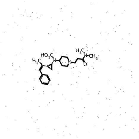 CC(=Cc1ccccc1)[C@@H]1C[C@H]1N(C(=O)O)C1CCN(CCC(=O)N(C)C)CC1